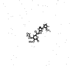 COc1c(NC2COC2)cc(C(=O)Nc2nnc(-n3nccc3C)s2)oc1=O